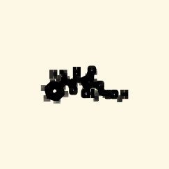 C[C@@H]1[C@H](NC(=O)C(N)c2ccccc2)C(=O)N1OCS(=O)(=O)O